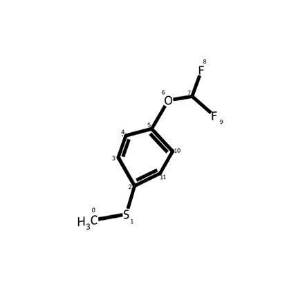 CSc1c[c]c(OC(F)F)cc1